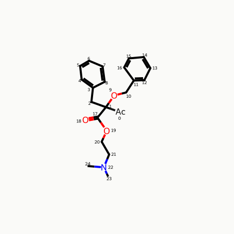 CC(=O)C(Cc1ccccc1)(OCc1ccccc1)C(=O)OCCN(C)C